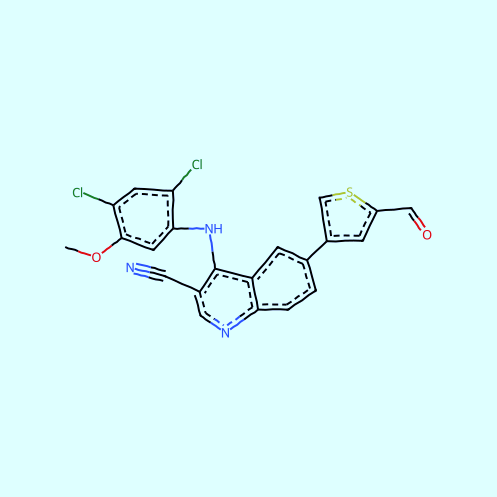 COc1cc(Nc2c(C#N)cnc3ccc(-c4csc(C=O)c4)cc23)c(Cl)cc1Cl